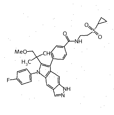 COCC(C)(C)c1c(-c2ccc(C(=O)NCCS(=O)(=O)C3CC3)cc2)c2cc3[nH]ncc3cc2n1-c1ccc(F)cc1